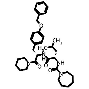 CC(C)C[C@H](NC(=O)N1CCCCCC1)C(=O)N[C@@H](Cc1ccc(OCc2ccccc2)cc1)C(=O)N1CCCCC1